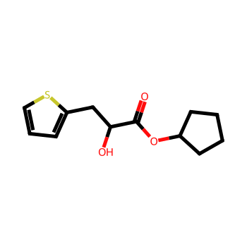 O=C(OC1CCCC1)C(O)Cc1cccs1